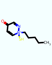 CCCCC[N+]1(S)C=CC(=O)C=N1